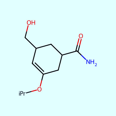 CC(C)OC1=CC(CO)CC(C(N)=O)C1